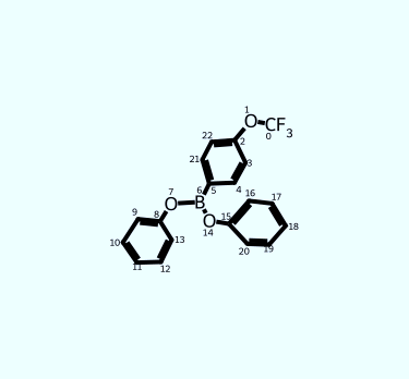 FC(F)(F)Oc1ccc(B(Oc2ccccc2)Oc2ccccc2)cc1